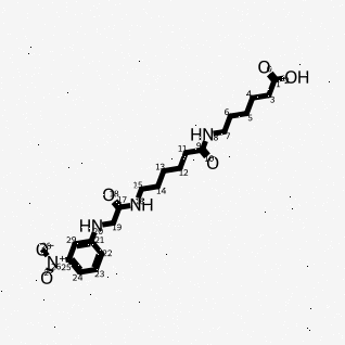 O=C(O)CCCCCNC(=O)CCCCCNC(=O)CNc1cccc([N+](=O)[O-])c1